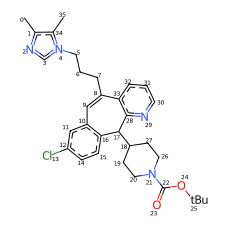 Cc1ncn(CCCC2=Cc3cc(Cl)ccc3C(C3CCN(C(=O)OC(C)(C)C)CC3)c3ncccc32)c1C